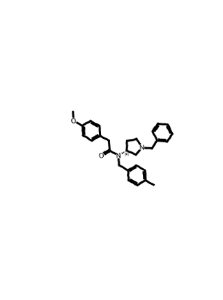 COc1ccc(CC(=O)N(Cc2ccc(C)cc2)[C@@H]2CCN(Cc3ccccc3)C2)cc1